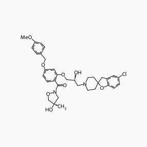 COc1ccc(COc2ccc(C(=O)N3C[C@](C)(O)CO3)c(OC[C@@H](O)CN3CCC4(CC3)Cc3cc(Cl)ccc3O4)c2)cc1